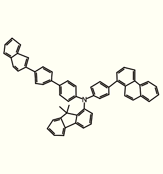 CC1(C)c2ccccc2-c2cccc(N(c3ccc(-c4ccc(-c5ccc6ccccc6c5)cc4)cc3)c3ccc(-c4cccc5c4ccc4ccccc45)cc3)c21